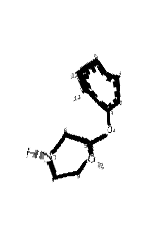 c1ccc(OC2CNCCO2)cc1